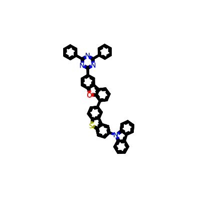 c1ccc(-c2nc(-c3ccccc3)nc(-c3ccc4oc5c(-c6ccc7sc8ccc(-n9c%10ccccc%10c%10ccccc%109)cc8c7c6)cccc5c4c3)n2)cc1